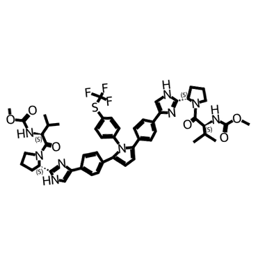 COC(=O)N[C@H](C(=O)N1CCC[C@H]1c1nc(-c2ccc(-c3ccc(-c4ccc(-c5c[nH]c([C@@H]6CCCN6C(=O)[C@@H](NC(=O)OC)C(C)C)n5)cc4)n3-c3ccc(SC(F)(F)F)cc3)cc2)c[nH]1)C(C)C